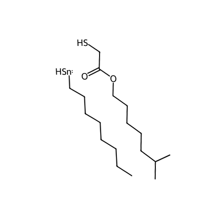 CC(C)CCCCCOC(=O)CS.CCCCCCC[CH2][SnH]